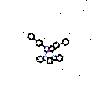 c1ccc(-c2ccc(-c3cc(-n4c5ccccc5c5ccc6c7ccccc7n(-c7ccccc7)c6c54)nc(-c4ccc(-c5ccccc5)cc4)n3)cc2)cc1